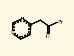 CC(C)C(=O)Cc1ccncn1